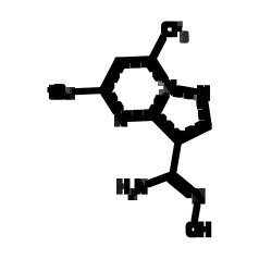 CC(C)(C)c1cc(C(F)(F)F)n2ncc(/C(N)=N/O)c2n1